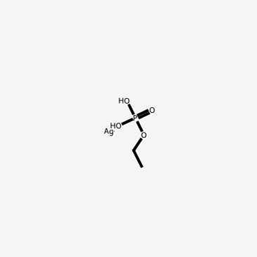 CCOP(=O)(O)O.[Ag]